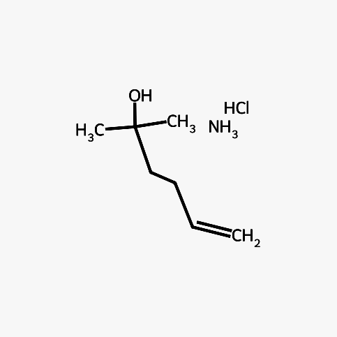 C=CCCC(C)(C)O.Cl.N